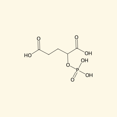 O=C(O)CCC(OP(=O)(O)O)C(=O)O